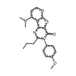 CCCc1nc2c(sc3nccc(N(C)C)c32)c(=O)n1-c1ccc(OC)cc1